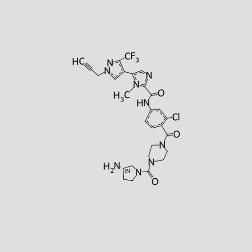 C#CCn1cc(-c2cnc(C(=O)Nc3ccc(C(=O)N4CCN(C(=O)N5CC[C@H](N)C5)CC4)c(Cl)c3)n2C)c(C(F)(F)F)n1